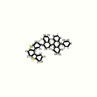 c1ccc(-c2c3ccccc3c(-c3ccc(-c4ccc5sc6ccc7sc8ccccc8c7c6c5c4)c4ccccc34)c3ccccc23)cc1